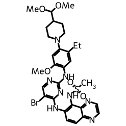 CCc1cc(Nc2ncc(Br)c(Nc3ccc4nccnc4c3NS(C)(=O)=O)n2)c(OC)cc1N1CCC(C(OC)OC)CC1